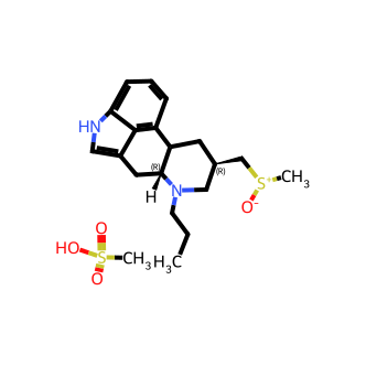 CCCN1C[C@H](C[S+](C)[O-])CC2c3cccc4[nH]cc(c34)C[C@H]21.CS(=O)(=O)O